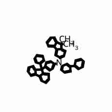 CC1(C)c2ccccc2-c2cc(N(c3ccc(C4(c5ccccc5)c5ccccc5-c5ccccc54)cc3)c3cccc(-c4ccccc4)c3)ccc21